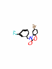 O=c1oc2ccc(Br)cc2n1Cc1cccc(F)c1